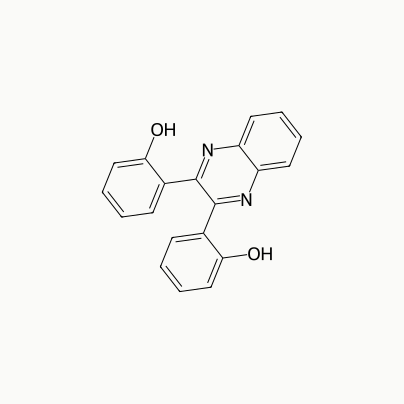 Oc1ccccc1-c1nc2ccccc2nc1-c1ccccc1O